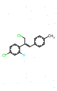 Cc1ccc(C=C(CCl)c2ccc(Cl)cc2F)cc1